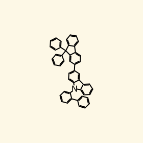 c1ccc(-c2ccccc2-n2c3ccccc3c3cc(-c4ccc5c(c4)C(c4ccccc4)(c4ccccc4)c4ccccc4-5)ccc32)cc1